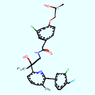 COc1ccc(C(O)(CNC(=O)c2ccc(OC[C@H](C)O)c(Cl)c2)C(F)(F)F)nc1-c1ccc(F)c(Cl)c1